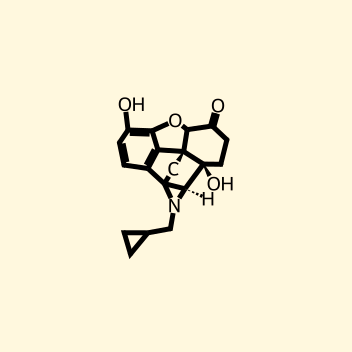 O=C1CC[C@]2(O)[C@H]3N(CC4CC4)C34C[C@]23c2c4ccc(O)c2OC13